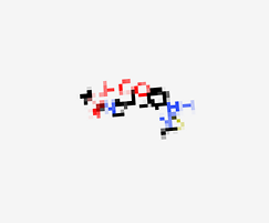 Cc1csc(Nc2cccc(C[C@H](C(=O)O)[C@H]3CCN(C(=O)OC(C)(C)C)C3)c2)n1